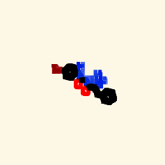 NC(Cc1ccccc1)C(=O)NC(=O)Nc1ccc(Br)cc1